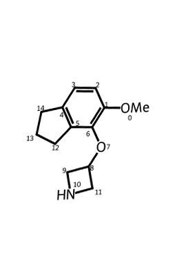 COc1ccc2c(c1OC1CNC1)CCC2